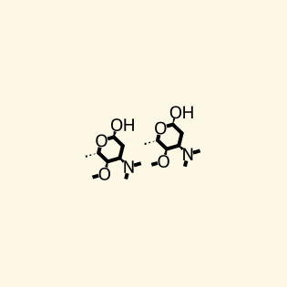 CO[C@H]1[C@H](C)O[C@@H](O)C[C@H]1N(C)C.CO[C@H]1[C@H](C)O[C@H](O)C[C@H]1N(C)C